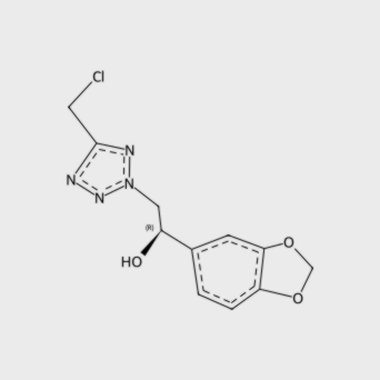 O[C@@H](Cn1nnc(CCl)n1)c1ccc2c(c1)OCO2